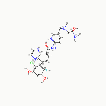 COc1cc(OC)c(Cl)c(-c2ccc(C(=O)Nc3ccc(CN(C)CC(=O)N(C)C)cn3)c3nccnc23)c1F